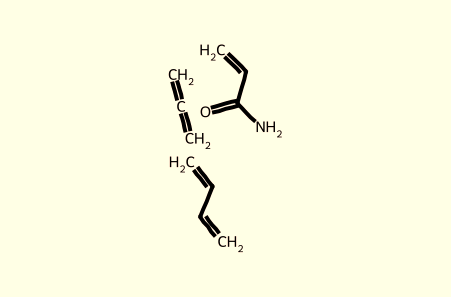 C=C=C.C=CC(N)=O.C=CC=C